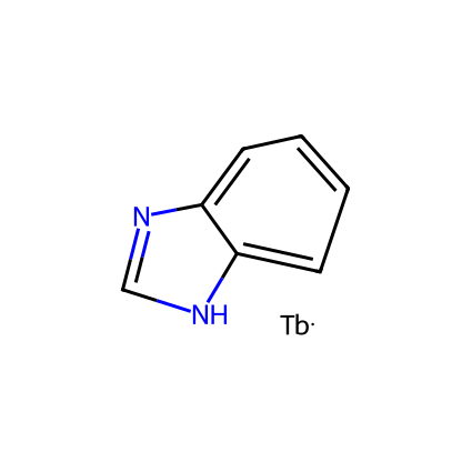 [Tb].c1ccc2[nH]cnc2c1